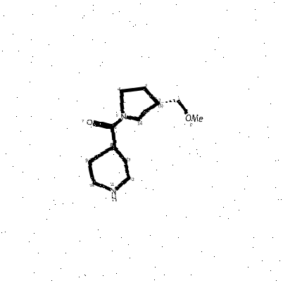 COC[C@H]1CCN(C(=O)C2CCNCC2)C1